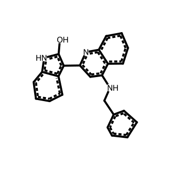 Oc1[nH]c2ccccc2c1-c1cc(NCc2ccccc2)c2ccccc2n1